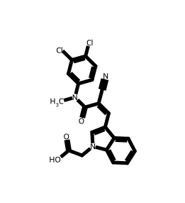 CN(C(=O)C(C#N)=Cc1cn(CC(=O)O)c2ccccc12)c1ccc(Cl)c(Cl)c1